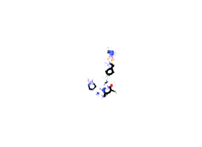 CS(=O)(=O)N1CCC(Nc2ncc3cc(C(F)F)c(=O)n(CCNc4ccc5cc(S(=O)(=O)n6cncn6)[nH]c5c4)c3n2)CC1